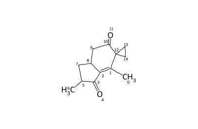 CC1=C2C(=O)C(C)CC2CC(=O)C12CC2